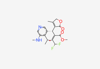 CNc1cncc([C@H](C2=C(C)COC2=O)/C(C(=O)OC)=C(\C)C(F)F)c1C(C)C